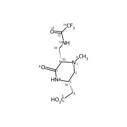 CN1C[C@H](CC(=O)O)NC(=O)[C@@H]1CNC(=O)C(F)(F)F